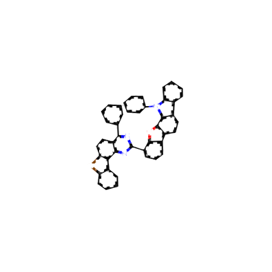 c1ccc(-c2nc(-c3cccc4c3oc3c4ccc4c5ccccc5n(-c5ccccc5)c43)nc3c2ccc2sc4ccccc4c23)cc1